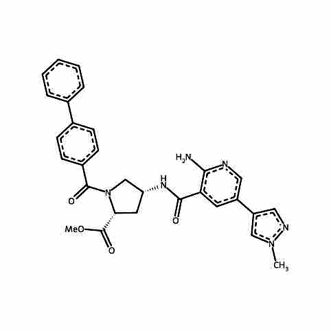 COC(=O)[C@H]1C[C@@H](NC(=O)c2cc(-c3cnn(C)c3)cnc2N)CN1C(=O)c1ccc(-c2ccccc2)cc1